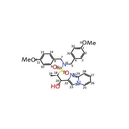 COc1ccc(CN(Cc2ccc(OC)cc2)S(=O)(=O)[C@H](C)[C@H](O)c2cn3ccccc3n2)cc1